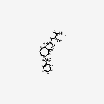 NC(=O)[C@@H](O)[CH]C(=O)NC1CCCN(S(=O)(=O)c2ccccn2)CC1=O